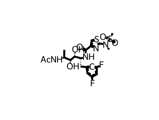 CC(=O)N[C@@H](C)[C@@H](O)[C@H](O)[C@@H](Cc1cc(F)cc(F)c1)NC(=O)c1csc(N(C)S(C)(=O)=O)n1